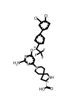 Nc1nc(O[C@H](c2ccc(-c3ccc(Cl)c(Cl)c3)cc2)C(F)(F)F)cc(N2CCC3(CC2)CN[C@H](C(=O)O)C3)n1